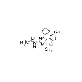 CCc1nc(NC(N)=O)nc(-c2ccccc2)c1-c1cc(O)ccc1Cl